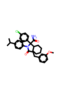 COc1cccc(CCC(=O)N(c2ccc(C(C)C)cc2)C(C(N)=O)(c2ccc(Cl)cc2)C2CCCCC2)c1